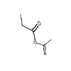 C=C(C)OC(=O)CI